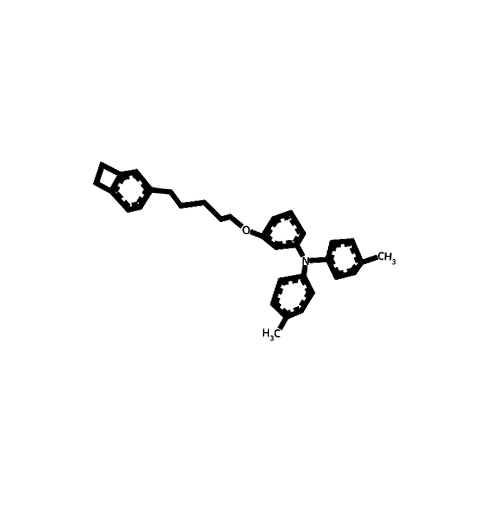 Cc1ccc(N(c2ccc(C)cc2)c2cccc(OCCCCCc3ccc4c(c3)CC4)c2)cc1